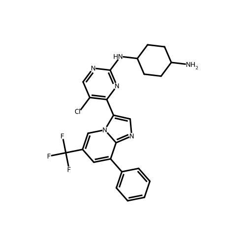 NC1CCC(Nc2ncc(Cl)c(-c3cnc4c(-c5ccccc5)cc(C(F)(F)F)cn34)n2)CC1